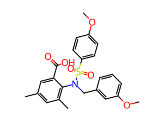 COc1ccc(S(=O)(=O)N(Cc2cccc(OC)c2)c2c(C)cc(C)cc2C(=O)O)cc1